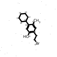 Cc1cc(CCBr)c(O)cc1C1CCCCC1